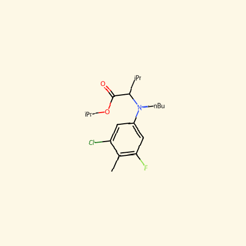 CCCCN(c1cc(F)c(C)c(Cl)c1)C(C(=O)OC(C)C)C(C)C